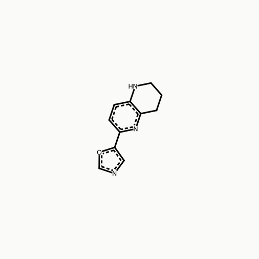 c1ncc(-c2ccc3c(n2)CCCN3)o1